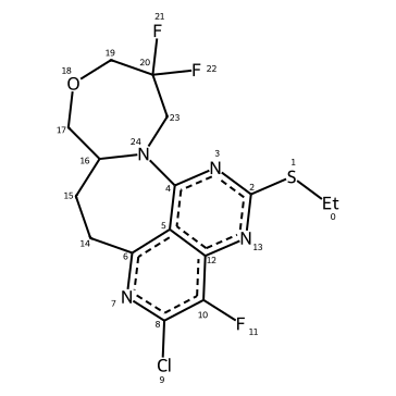 CCSc1nc2c3c(nc(Cl)c(F)c3n1)CCC1COCC(F)(F)CN21